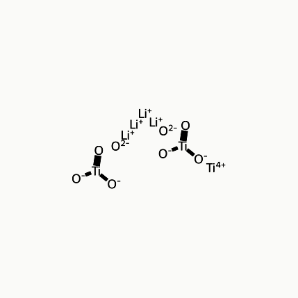 [Li+].[Li+].[Li+].[Li+].[O-2].[O-2].[O]=[Ti]([O-])[O-].[O]=[Ti]([O-])[O-].[Ti+4]